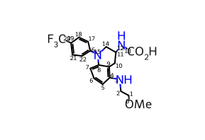 COCCNc1cccc2c1CC(NC(=O)O)CN2c1ccc(C(F)(F)F)cc1